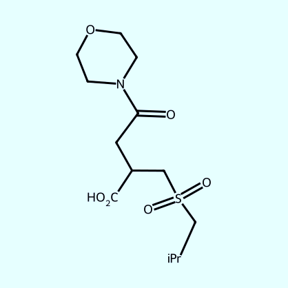 CC(C)CS(=O)(=O)CC(CC(=O)N1CCOCC1)C(=O)O